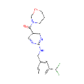 O=C(c1cnc(NCc2cccc(C(F)F)c2)nc1)N1CCCOC1